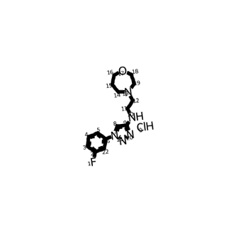 Cl.Fc1cccc(-n2cc(NCCN3CCCOCC3)nn2)c1